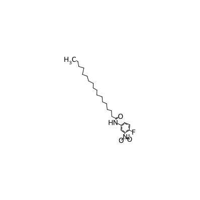 CCCCCCCCCCCCCCCCCC(=O)Nc1ccc(F)c([N+](=O)[O-])c1